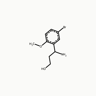 COc1ccc(Br)cc1C(N)CCO